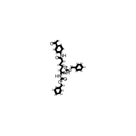 CC(=O)c1ccc(NC(=O)CCCCC(NC(=O)OCc2ccccc2)NC(=O)OCc2ccccc2)cc1